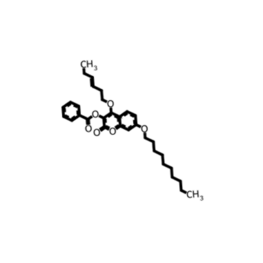 CC/C=C/CCOc1c(OC(=O)c2ccccc2)c(=O)oc2cc(OCCCCCCCCCC)ccc12